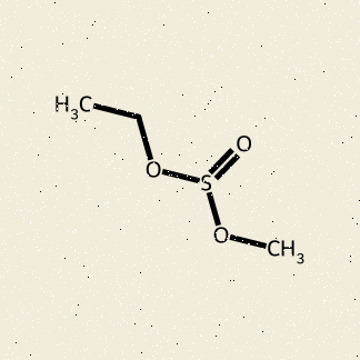 CCOS(=O)OC